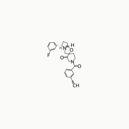 C#Cc1cccc(C(=O)N2CCC3(CN4[C@@H](CC[C@H]4c4cccc(F)c4)O3)C(=O)C2)c1